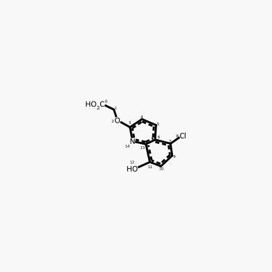 O=C(O)COc1ccc2c(Cl)ccc(O)c2n1